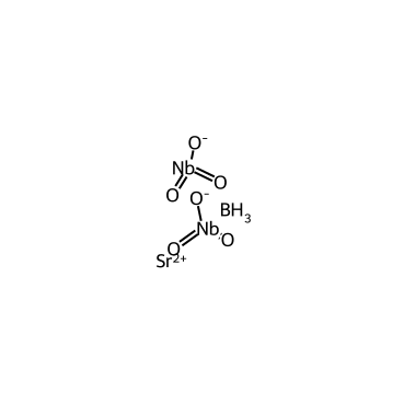 B.[O]=[Nb](=[O])[O-].[O]=[Nb](=[O])[O-].[Sr+2]